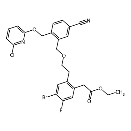 CCOC(=O)Cc1cc(F)c(Br)cc1CCOCc1cc(C#N)ccc1COc1cccc(Cl)n1